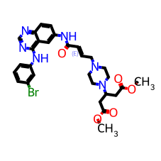 COC(=O)CC(CC(=O)OC)N1CCN(C/C=C/C(=O)Nc2ccc3ncnc(Nc4cccc(Br)c4)c3c2)CC1